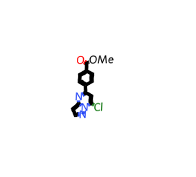 COC(=O)c1ccc(-c2cc(Cl)n3nccc3n2)cc1